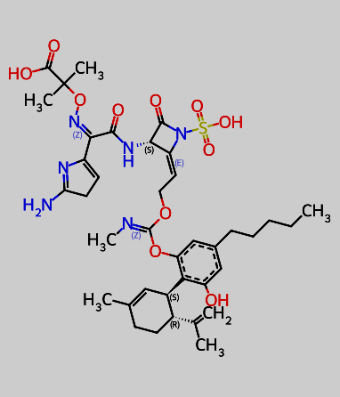 C=C(C)[C@@H]1CCC(C)=C[C@H]1c1c(O)cc(CCCCC)cc1O/C(=N\C)OC/C=C1\[C@H](NC(=O)/C(=N\OC(C)(C)C(=O)O)C2=CCC(N)=N2)C(=O)N1S(=O)(=O)O